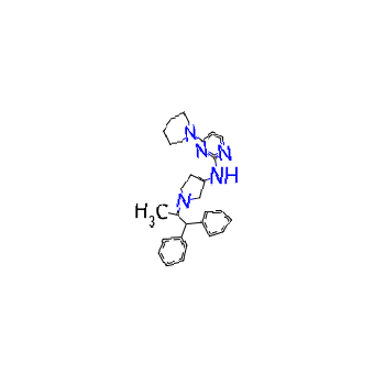 CC(C(c1ccccc1)c1ccccc1)N1CCC(Nc2nccc(N3CCCCCC3)n2)C1